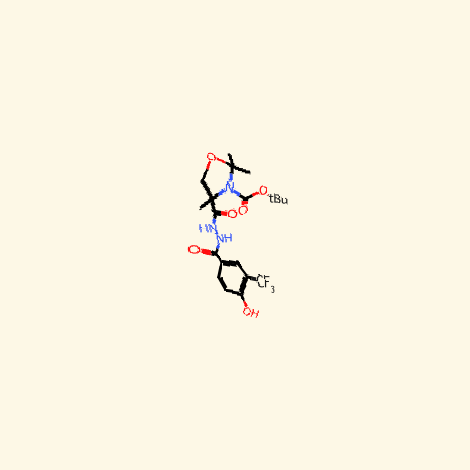 CC(C)(C)OC(=O)N1C(C)(C)OCC1(C)C(=O)NNC(=O)c1ccc(O)c(C(F)(F)F)c1